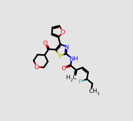 C=C(/C=C\C(F)CC)C(=O)Nc1nc(-c2ccco2)c(C(=O)C2CCOCC2)s1